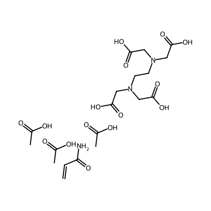 C=CC(N)=O.CC(=O)O.CC(=O)O.CC(=O)O.O=C(O)CN(CCN(CC(=O)O)CC(=O)O)CC(=O)O